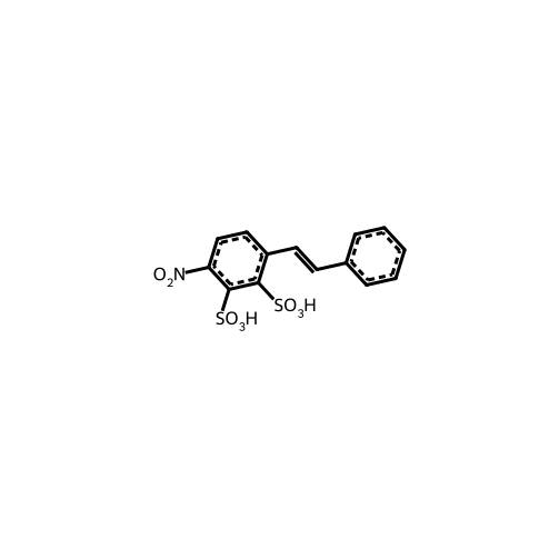 O=[N+]([O-])c1ccc(C=Cc2ccccc2)c(S(=O)(=O)O)c1S(=O)(=O)O